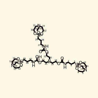 O=C(NCCC[Si]12OCCN(CCO1)CCO2)OCCN(CCOC(=O)NCCC[Si]12OCCN(CCO1)CCO2)CCOC(O)NCCC[Si]12OCCN(CCO1)CCO2